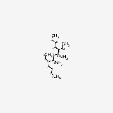 CCCCC(CC)C(N)CC(N)C(CC)CCCC